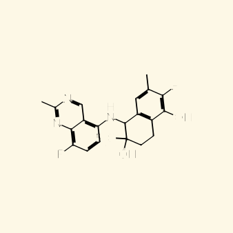 Cc1ncc2c(NC3c4cc(C)c(F)c(O)c4CCC3(O)C(F)(F)F)ccc(F)c2n1